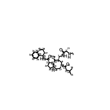 CN[C@@H](C)C(=O)NC[C@H]1CN(C(=O)CC(C)C)CC[C@H]2CC[C@@H](C(=O)NC3CCSc4ccccc43)N2C1=O